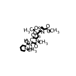 COC(=O)c1csc([C@@H](CC(C(C)C)N(C)C(=O)CNC(=O)[C@H]2CCCCN2C)OC(C)=O)n1